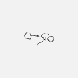 C=CCN1c2ccccc2CCC1C#Cc1ccccc1